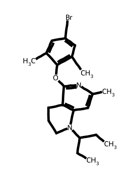 CCC(CC)N1CCCc2c1cc(C)nc2Oc1c(C)cc(Br)cc1C